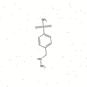 NNCc1ccc(S(N)(=O)=O)cc1